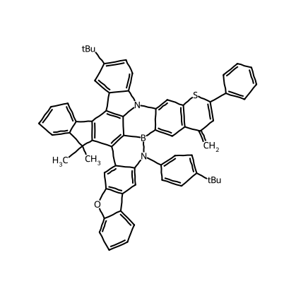 C=C1C=C(c2ccccc2)Sc2cc3c(cc21)B1c2c(c4c(c5c6cc(C(C)(C)C)ccc6n-3c25)-c2ccccc2C4(C)C)-c2cc3oc4ccccc4c3cc2N1c1ccc(C(C)(C)C)cc1